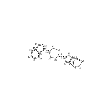 C1=C2CC(=C1)c1cn(N3CCN(c4nsc5ccccc45)CC3)cc12